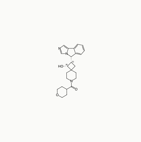 O=C(C1CCOCC1)N1CCC2(CC1)C[C@@H](C1c3ccccc3-c3cncn31)[C@H]2O